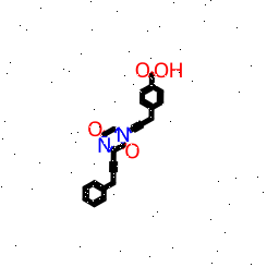 O=C1CN(C#CCc2ccc(C(=O)O)cc2)C(=O)C(C#CCc2ccccc2)=N1